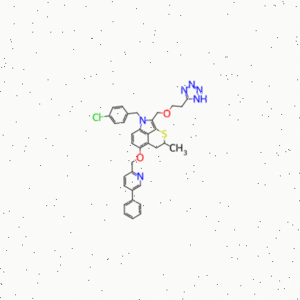 CC1Cc2c(OCc3ccc(-c4ccccc4)cn3)ccc3c2c(c(COCCc2nnn[nH]2)n3Cc2ccc(Cl)cc2)S1